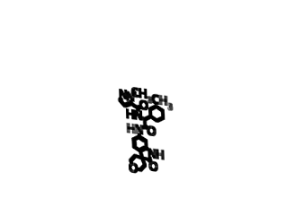 C[C@@H]1CCCC([C@H](NC(=O)c2ccnn2C)C(=O)Nc2ccc3c(c2)NC(=O)C32CCOCC2)C1